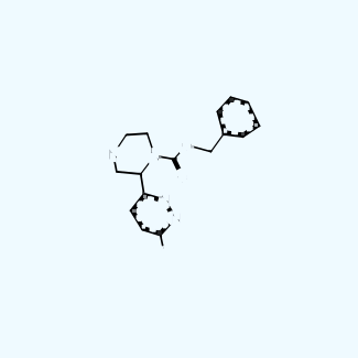 O=C(OCc1ccccc1)N1CCNCC1c1ccc(Cl)nn1